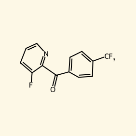 O=C(c1ccc(C(F)(F)F)cc1)c1ncccc1F